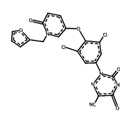 N#Cc1nn(-c2cc(Cl)c(Oc3ccc(=O)n(Cc4ccco4)c3)c(Cl)c2)c(=O)[nH]c1=O